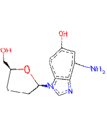 Nc1cc(O)cc2c1ncn2[C@H]1CC[C@@H](CO)O1